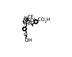 CC(NC(=O)c1c(C(F)(F)F)nn2c1N(Cc1cccc(COCCO)c1)CC2)c1ccc(C(=O)O)cc1